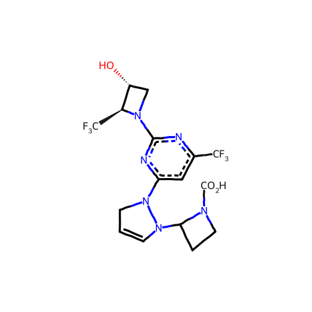 O=C(O)N1CCC1N1C=CCN1c1cc(C(F)(F)F)nc(N2C[C@@H](O)[C@@H]2C(F)(F)F)n1